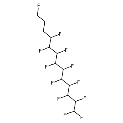 FCCCC(F)C(F)C(F)C(F)C(F)C(F)C(F)C(F)C(F)C(F)F